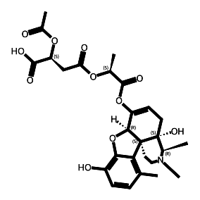 CC(=O)O[C@@H](CC(=O)O[C@@H](C)C(=O)OC1=CC[C@@]2(O)[C@@H](C)N(C)CC[C@@]23c2c(C)ccc(O)c2O[C@@H]13)C(=O)O